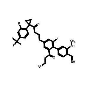 CCOC(=O)c1cc(CCCC(=O)C2(c3ccc(C(F)(I)I)cc3F)CC2)cc(F)c1-c1ccc(C=N)c(NC)c1